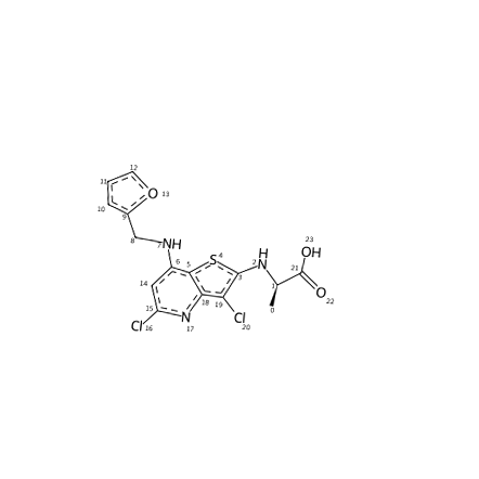 C[C@@H](Nc1sc2c(NCc3ccco3)cc(Cl)nc2c1Cl)C(=O)O